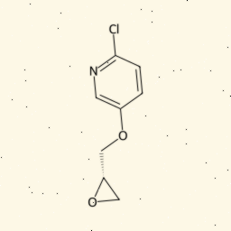 Clc1ccc(OC[C@@H]2CO2)cn1